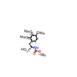 COc1ccc(C[C@H](NC(=O)OC(C)(C)C)C(=O)O)c(OC)c1OC